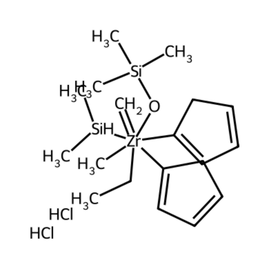 Cl.Cl.[CH2]=[Zr]([CH3])([CH2]C)([O][Si](C)(C)C)([C]1=CC=CC1)([C]1=CC=CC1)[SiH](C)C